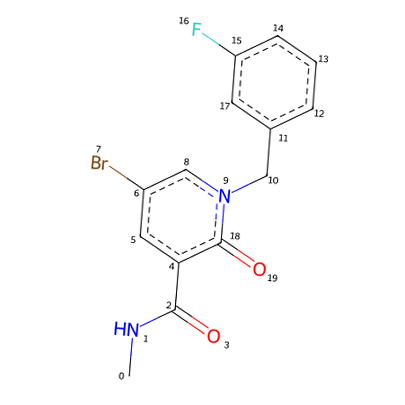 CNC(=O)c1cc(Br)cn(Cc2cccc(F)c2)c1=O